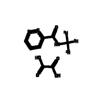 O=C(O)C(=O)O.[2H]C([2H])([2H])NC(=O)c1cccnn1